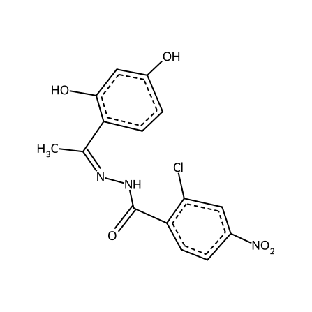 CC(=NNC(=O)c1ccc([N+](=O)[O-])cc1Cl)c1ccc(O)cc1O